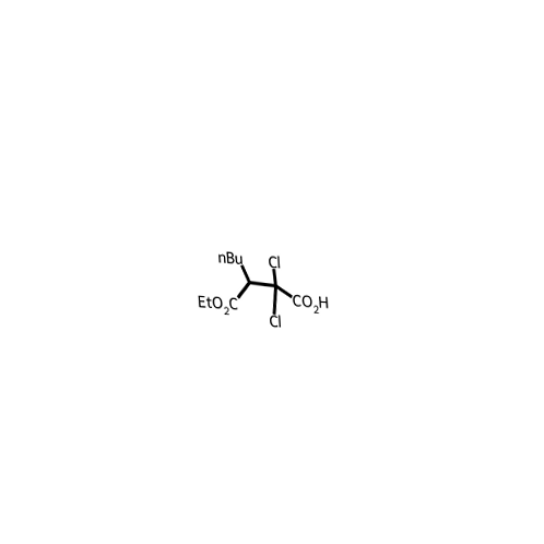 CCCCC(C(=O)OCC)C(Cl)(Cl)C(=O)O